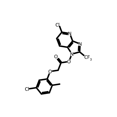 Cc1ccc(Cl)cc1OCC(=O)On1c(C(F)(F)F)nc2nc(Cl)ccc21